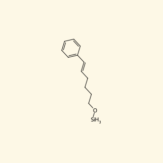 [SiH3]OCCCCC=Cc1ccccc1